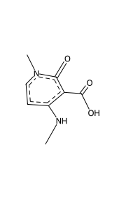 CNc1ccn(C)c(=O)c1C(=O)O